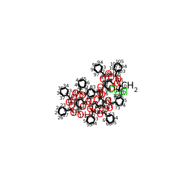 C=C(OC1O[C@H](CO[C@@H]2O[C@H](CO[C@@H]3O[C@H](CO)[C@@H](OC(=O)c4ccccc4)[C@H](OC(=O)c4ccccc4)[C@H]3OC(=O)c3ccccc3)[C@@H](OC(=O)c3ccccc3)[C@H](OC(=O)c3ccccc3)[C@H]2OC(=O)c2ccccc2)[C@@H](OC(=O)c2ccccc2)[C@H](OC(=O)c2ccccc2)[C@H]1OC(=O)c1ccccc1)C(Cl)(Cl)Cl